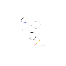 CN(C)S(=O)(=O)c1ccc2c(c1)C1CCCCC1C(c1nccs1)N2